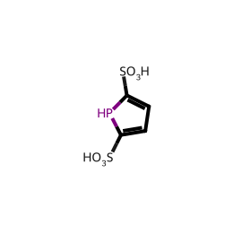 O=S(=O)(O)c1ccc(S(=O)(=O)O)[pH]1